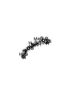 COc1cc2c(cc1OCCCC(=O)Nc1cc(C(=O)Nc3ccc(-c4cc(C(=O)Nc5cccnc5)n(C)c4)cc3)n(C)c1)NC[C@@H]1CCCCN1C2=O